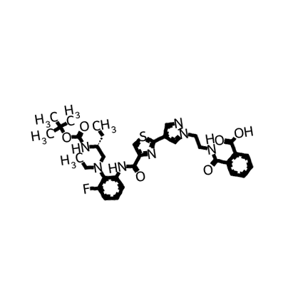 CC[C@H](CN(CC)c1c(F)cccc1NC(=O)c1csc(-c2cnn(CCNC(=O)c3ccccc3C(=O)O)c2)n1)NC(=O)OC(C)(C)C